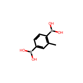 Cc1cc(B(O)O)ccc1B(O)O